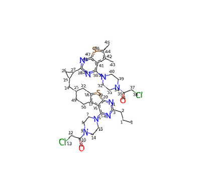 CCCc1nc(N2CCN(C(=O)CCl)CC2)c2c3c(sc2n1)CC(CC1CC1c1nc(N2CCN(C(=O)CCl)CC2)c2c(C)c(C)sc2n1)CC3